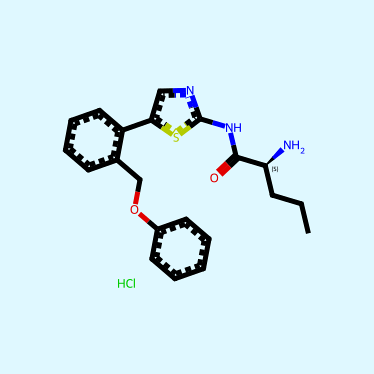 CCC[C@H](N)C(=O)Nc1ncc(-c2ccccc2COc2ccccc2)s1.Cl